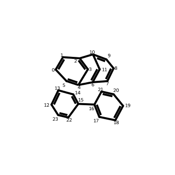 c1cc2cc(c1)c1cccc2c1.c1ccc(-c2ccccc2)cc1